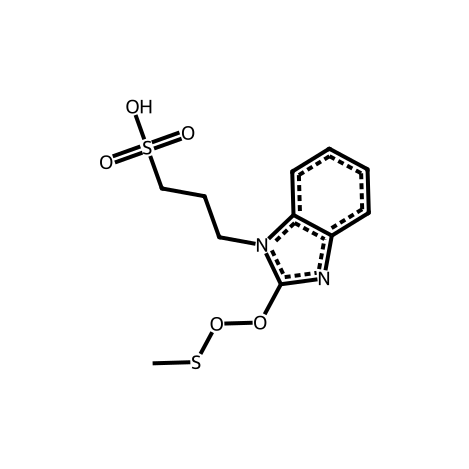 CSOOc1nc2ccccc2n1CCCS(=O)(=O)O